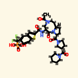 CC(=O)N1CC[C@H]2CC[C@@H](C(=O)N3CC[C@H](C(=O)N4CCCCC4)C3)N2C(=O)C(NC(=O)c2cc3cc(C(F)(F)P(=O)(O)O)ccc3s2)C1